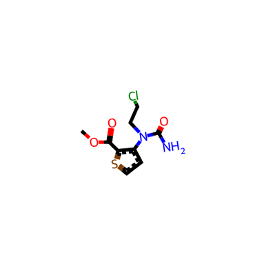 COC(=O)c1sccc1N(CCCl)C(N)=O